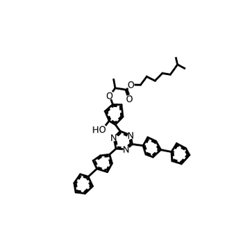 CC(C)CCCCCOC(=O)C(C)Oc1ccc(-c2nc(-c3ccc(-c4ccccc4)cc3)nc(-c3ccc(-c4ccccc4)cc3)n2)c(O)c1